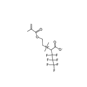 C=C(C)C(=O)OCC[N+](C)(C)C(C(=O)[O-])C(F)(F)C(F)(F)C(F)(F)F